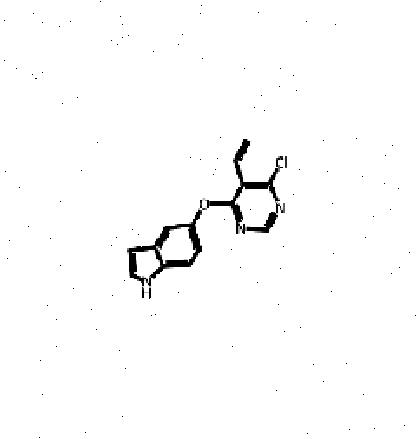 C=Cc1c(Cl)ncnc1Oc1ccc2[nH]ccc2c1